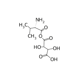 CC(C)[C@H](N)C(=O)OC(=O)C(O)C(O)C(=O)O